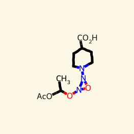 CC(=O)OC(C)On1on1N1CCC(C(=O)O)CC1